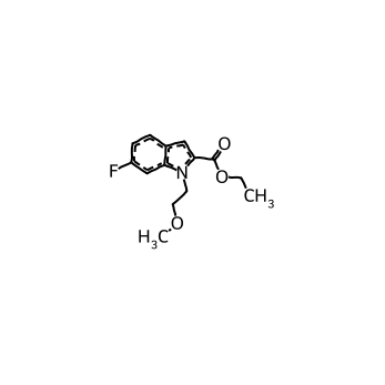 CCOC(=O)c1cc2ccc(F)cc2n1CCOC